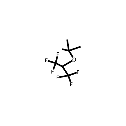 CC(C)(C)OC(C(F)(F)F)C(F)(F)F